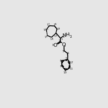 NC(C(=O)OCCc1ccccc1)C1CC[CH]CCC1